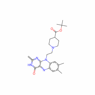 C=c1nc2c(c(=O)[nH]1)=Nc1cc(C)c(C)cc1N2CCN1CCC(C(=O)OC(C)(C)C)CC1